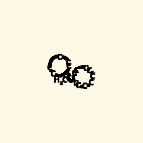 CC(CC1CCCCCCC[CH]CCCCCCCC1)CC1CCCCCCC[CH]CCCCCCCC1